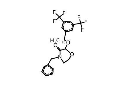 C[C@@H](OC1OCCN(Cc2ccccc2)C1=O)c1cc(C(F)(F)F)cc(C(F)(F)F)c1